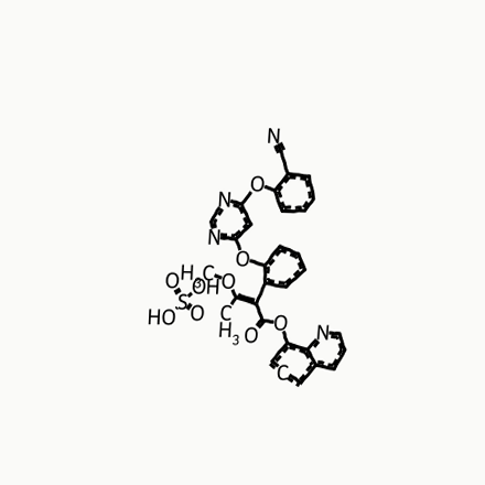 CO/C(C)=C(/C(=O)Oc1cccc2cccnc12)c1ccccc1Oc1cc(Oc2ccccc2C#N)ncn1.O=S(=O)(O)O